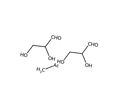 CC(C)=O.O=CC(O)CO.O=CC(O)CO